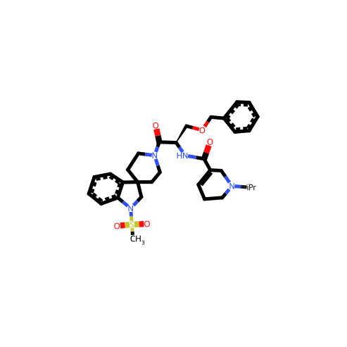 CC(C)N1CCC=C(C(=O)N[C@H](COCc2ccccc2)C(=O)N2CCC3(CC2)CN(S(C)(=O)=O)c2ccccc23)C1